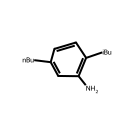 CCCCc1ccc(C(C)CC)c(N)c1